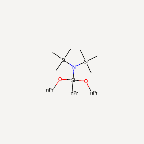 CCCO[Si](CCC)(OCCC)N([Si](C)(C)C)[Si](C)(C)C